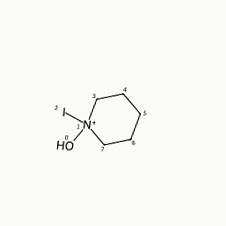 O[N+]1(I)CCCCC1